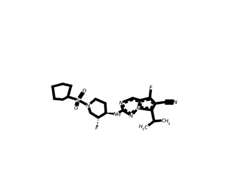 CC(C)c1c(C#N)c(F)c2cnc(N[C@@H]3CCN(S(=O)(=O)C4CCCCC4)C[C@H]3F)nn12